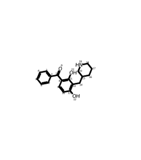 O=C(c1ccccc1)c1ccc(O)c(CC2CCCNC2)c1O